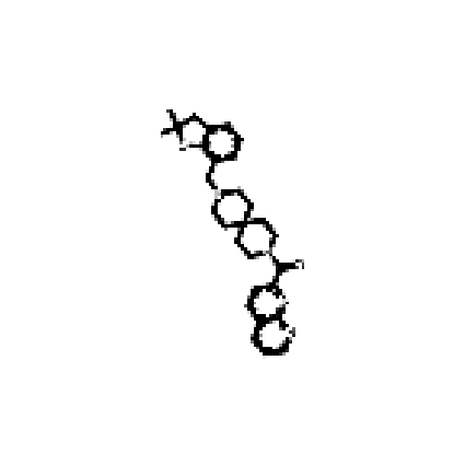 CC1(C)Cc2cccc(CN3CCC4(CC3)CCN(C(=O)c3ccc5cccnc5n3)CC4)c2O1